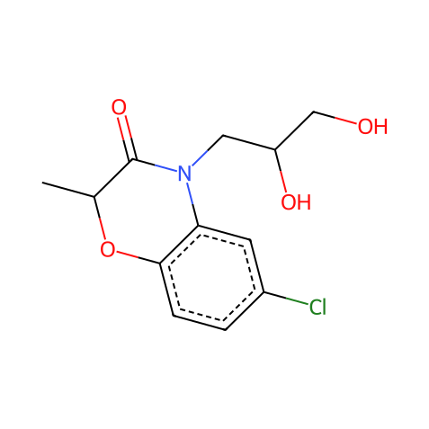 CC1Oc2ccc(Cl)cc2N(CC(O)CO)C1=O